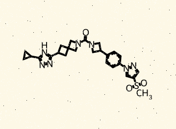 CS(=O)(=O)c1cnn(-c2ccc(C3CN(C(=O)N4CC5(CC(c6nnc(C7CC7)[nH]6)C5)C4)C3)cc2)c1